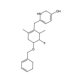 CC1=C(CC2=CC=C(O)CN2)C(C)C(F)C(OCC2=CC=CCC2)C1